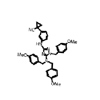 COc1ccc(CN(Cc2ccc(OC)cc2)c2nc(Nc3cccc(C4(C#N)CC4)c3)nn2Cc2ccc(OC)cc2)cc1